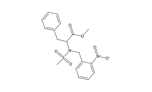 COC(=O)C(Cc1ccccc1)N(Cc1ccccc1[N+](=O)[O-])S(C)(=O)=O